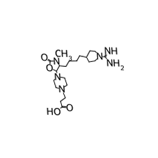 CN1C(=O)OC(N2CCN(CCC(=O)O)CC2)C1CCCCC1CCN(C(=N)N)CC1